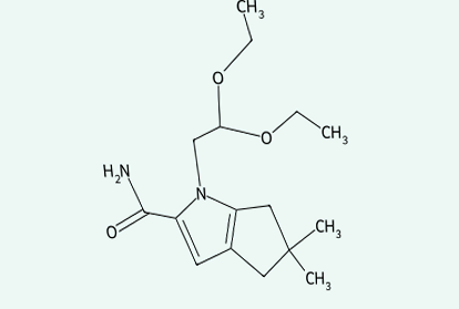 CCOC(Cn1c(C(N)=O)cc2c1CC(C)(C)C2)OCC